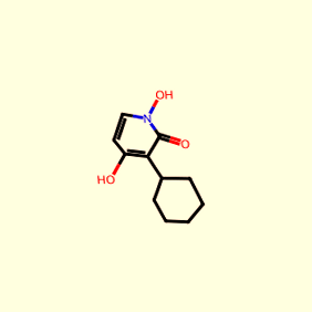 O=c1c(C2CCCCC2)c(O)ccn1O